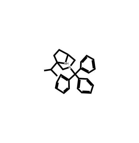 CC(C)C12CCC(CN(C(c3ccccc3)(c3ccccc3)c3ccccc3)C1)N2